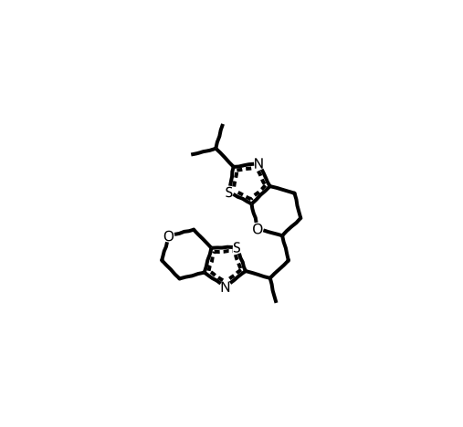 CC(C)c1nc2c(s1)OC(CC(C)c1nc3c(s1)COCC3)CC2